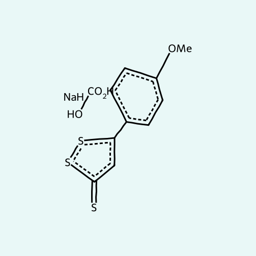 COc1ccc(-c2cc(=S)ss2)cc1.O=C(O)O.[NaH]